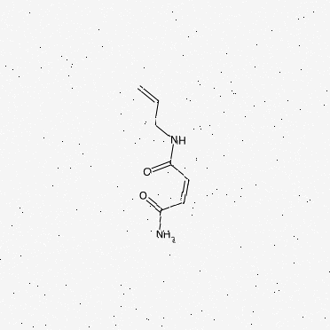 C=CCNC(=O)/C=C\C(N)=O